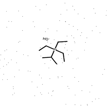 CC[P+](CC)(CC)C(C)C.[OH-]